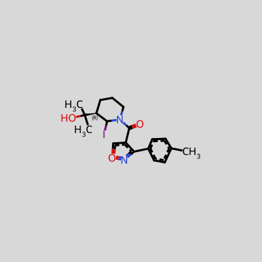 Cc1ccc(-c2nocc2C(=O)N2CCC[C@H](C(C)(C)O)C2I)cc1